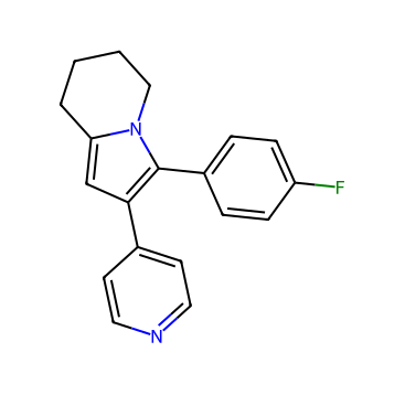 Fc1ccc(-c2c(-c3ccncc3)cc3n2CCCC3)cc1